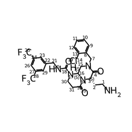 NCC[C@H]1C(=O)N(Cc2ccccc2Cl)C[C@@H]2N(C(=O)NCc3cc(C(F)(F)F)cc(C(F)(F)F)c3)CCC(=O)N21